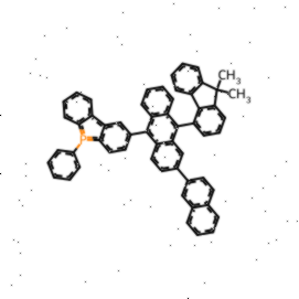 CC1(C)c2ccccc2-c2c(-c3c4ccccc4c(-c4ccc5c(c4)c4ccccc4p5-c4ccccc4)c4ccc(-c5ccc6ccccc6c5)cc34)cccc21